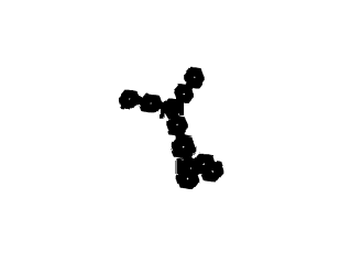 c1ccc(-c2ccc(-c3cc(-c4ccc(-c5ccccc5)cc4)nc(-c4ccc(-c5ccc(-c6nc7ccccc7c7c6ccc6ccccc67)cc5)cc4)n3)cc2)cc1